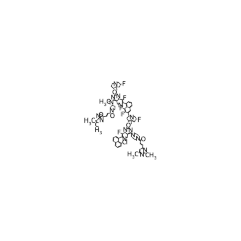 Cc1cc(/C=C/C(=O)N2CCN(c3nc(OC[C@@]45CCC(c6cc7cccc(-c8ncc9c(N(C)[C@@H]%10CCN(C(=O)/C=C/c%11nc(C(C)C)no%11)C%10)nc(OC[C@@]%10%11CCCN%10C[C@H](F)C%11)nc9c8F)c7c(F)c6F)N4C[C@H](F)C5)nc4c(F)c(-c5cccc6cccc(Cl)c56)ncc34)CC2)nc(C)n1